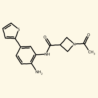 CC(=O)N1CC(C(=O)Nc2cc(-c3cccs3)ccc2N)C1